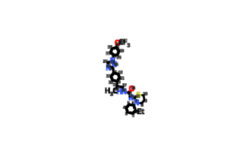 CCc1ccccc1N1CCCS/C1=N\C(=O)N/C=C(\C)c1ccc(-c2ncn(-c3ccc(OC(F)(F)F)cc3)n2)cc1